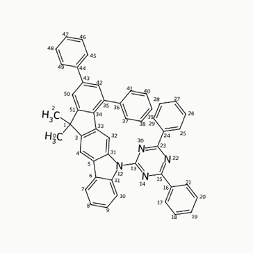 CC1(C)c2cc3c4ccccc4n(-c4nc(-c5ccccc5)nc(-c5ccccc5)n4)c3cc2-c2c(-c3ccccc3)cc(-c3ccccc3)cc21